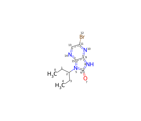 CCC(CC)n1c(=O)[nH]c2nc(Br)cnc21